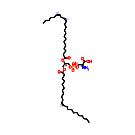 CCCCC/C=C\C/C=C\CCCCCCCCCCCC(=O)O[C@H](COC(=O)CCCCCCCCC/C=C\CCCCCCCCCC)COP(=O)(O)OC[C@H](N)C(=O)O